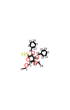 CCOC[C@H]1O[C@@H](S)[C@H](OCc2ccccc2)[C@@H](OCc2ccccc2)[C@H]1OCC